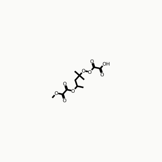 COC(=O)C(=O)OC(C)CC(C)(C)OOC(=O)C(=O)O